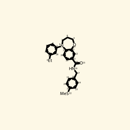 CCc1cccc(N2CCCOc3cc(C(=O)NCc4ccc(SC)cc4)ccc32)c1